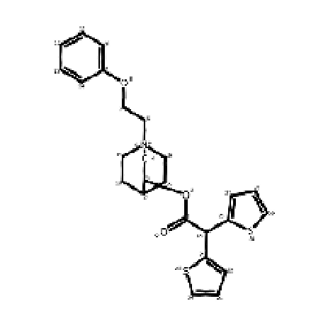 O=C(OC1C[N+]2(CCOc3ccccc3)CCC1CC2)C(c1cccs1)c1cccs1